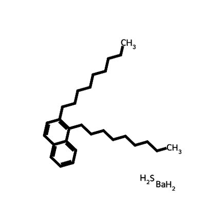 CCCCCCCCCc1ccc2ccccc2c1CCCCCCCCC.S.[BaH2]